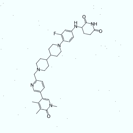 Cc1c(-c2ccc(CN3CCC(C4CCN(c5ccc(NC6CCC(=O)NC6=O)cc5F)CC4)CC3)nc2)cn(C)c(=O)c1C